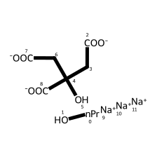 CCCO.O=C([O-])CC(O)(CC(=O)[O-])C(=O)[O-].[Na+].[Na+].[Na+]